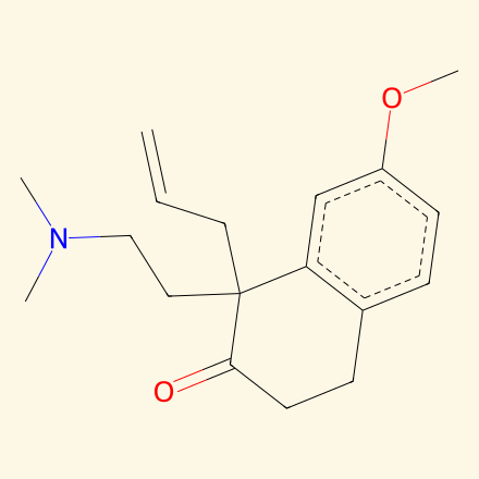 C=CCC1(CCN(C)C)C(=O)CCc2ccc(OC)cc21